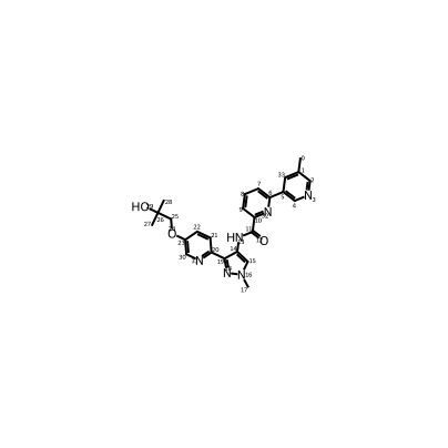 Cc1cncc(-c2cccc(C(=O)Nc3cn(C)nc3-c3ccc(OCC(C)(C)O)cn3)n2)c1